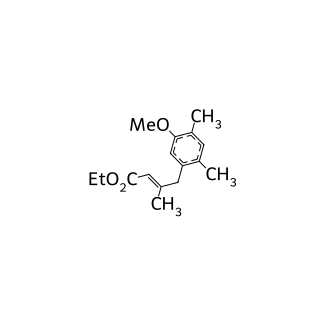 CCOC(=O)C=C(C)Cc1cc(OC)c(C)cc1C